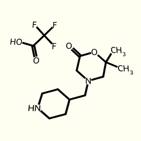 CC1(C)CN(CC2CCNCC2)CC(=O)O1.O=C(O)C(F)(F)F